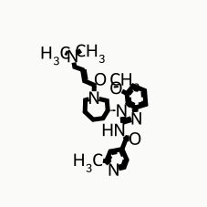 COc1cccc2nc(NC(=O)c3ccnc(C)c3)n([C@@H]3CCCCN(C(=O)/C=C/CN(C)C)C3)c12